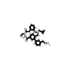 CCOC(=O)Cc1ccccc1N1c2cc(C(N)=O)cc(-c3cccc(CN)c3)c2CN1CC1CC1